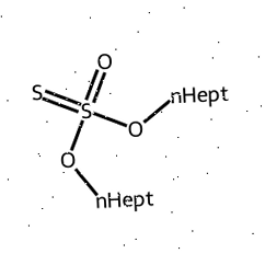 CCCCCCCOS(=O)(=S)OCCCCCCC